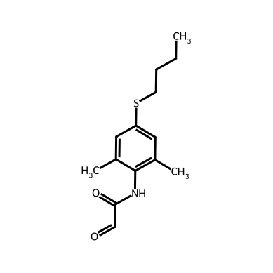 CCCCSc1cc(C)c(NC(=O)C=O)c(C)c1